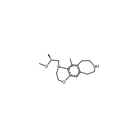 CO[C@@H](C)CN1CCOc2cc3c(c(C)c21)CCNCC3